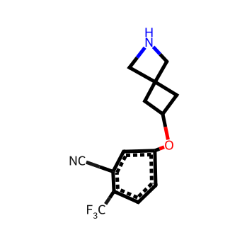 N#Cc1cc(OC2CC3(CNC3)C2)ccc1C(F)(F)F